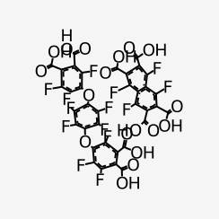 O=C(O)c1c(C(=O)O)c(F)c2c(F)c(C(=O)O)c(C(=O)O)c(F)c2c1F.O=C(O)c1c(F)c(F)c(Oc2c(F)c(F)c(Oc3c(F)c(F)c(C(=O)O)c(C(=O)O)c3F)c(F)c2F)c(F)c1C(=O)O